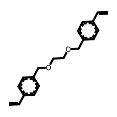 C=Cc1ccc(COCCOCc2ccc(C=C)cc2)cc1